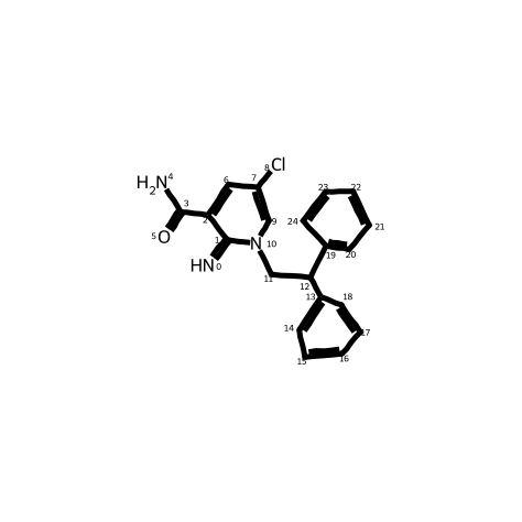 N=c1c(C(N)=O)cc(Cl)cn1CC(c1ccccc1)c1ccccc1